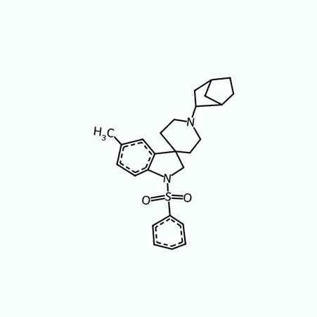 Cc1ccc2c(c1)C1(CCN(C3CC4CCC3C4)CC1)CN2S(=O)(=O)c1ccccc1